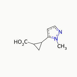 Cn1nccc1C1CC1C(=O)O